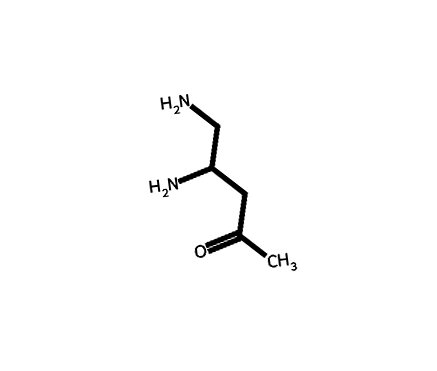 CC(=O)CC(N)CN